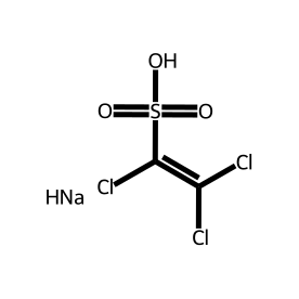 O=S(=O)(O)C(Cl)=C(Cl)Cl.[NaH]